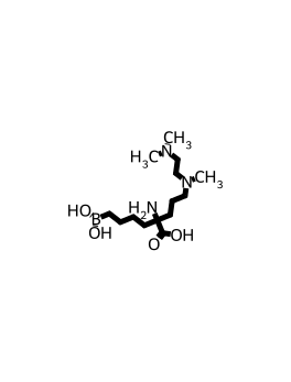 CN(C)CCN(C)CCCC(N)(CCCCB(O)O)C(=O)O